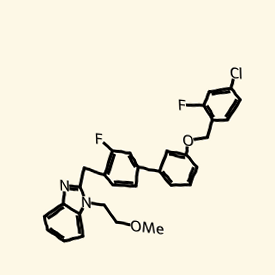 COCCn1c(Cc2ccc(-c3cccc(OCc4ccc(Cl)cc4F)c3)cc2F)nc2ccccc21